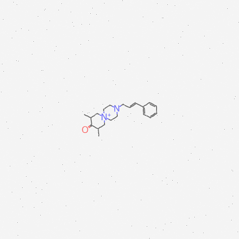 CC1C[N+]2(CCN(CC=Cc3ccccc3)CC2)CC(C)C1=O